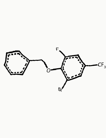 Fc1cc(C(F)(F)F)cc(Br)c1OCc1ccccc1